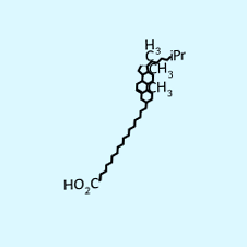 CC(C)CCC[C@@H](C)[C@H]1CCC2C3CC=C4CC(CCCCCCCCCCCCCCCCCC(=O)O)CC[C@]4(C)C3CC[C@@]21C